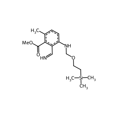 COC(=O)c1c(C)ccc(NCOCC[Si](C)(C)C)c1C=N